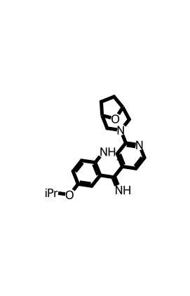 CC(C)Oc1ccc(N)c(C(=N)c2ccnc(N3CC4CCC(C3)O4)c2)c1